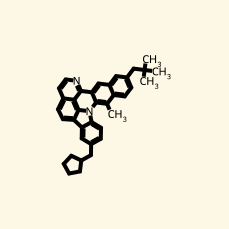 Cc1c2ccc(CC(C)(C)C)cc2cc2c3nccc4ccc5c6cc(CC7CCCC7)ccc6n(c12)c5c43